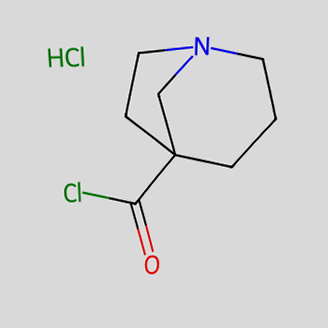 Cl.O=C(Cl)C12CCCN(CC1)C2